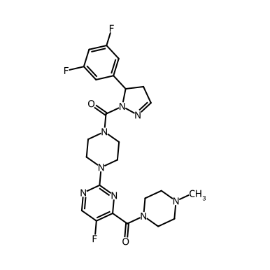 CN1CCN(C(=O)c2nc(N3CCN(C(=O)N4N=CCC4c4cc(F)cc(F)c4)CC3)ncc2F)CC1